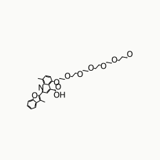 Cc1c(-c2cc(C(=O)O)c3c(OCCOCCOCCOCCOCCOCCC=O)ccc(C)c3n2)oc2ccccc12